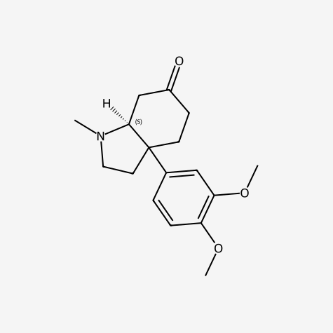 COc1ccc(C23CCC(=O)C[C@@H]2N(C)CC3)cc1OC